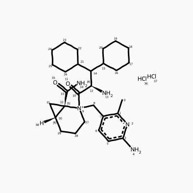 Cc1nc(N)ccc1C[N+]1(C(=O)[C@H](N)C(C2CCCCC2)C2CCCCC2)CCC[C@@H]2C[C@@]21C(N)=O.Cl.Cl